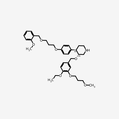 CCOc1ccc(CO[C@H]2CNCC[C@@H]2c2ccc(OCCCOCc3ccccc3OC)cc2)cc1OCCCOC